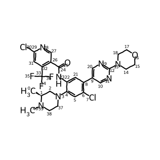 C[C@H]1CN(c2cc(Cl)c(-c3cnc(N4CCOCC4)nc3)cc2NC(=O)c2cnc(Cl)cc2C(F)(F)F)CCN1C